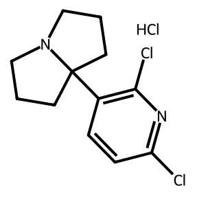 Cl.Clc1ccc(C23CCCN2CCC3)c(Cl)n1